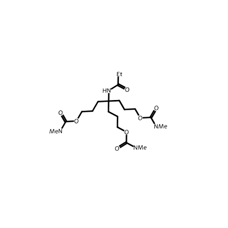 CCC(=O)NC(CCCOC(=O)NC)(CCCOC(=O)NC)CCCOC(=O)NC